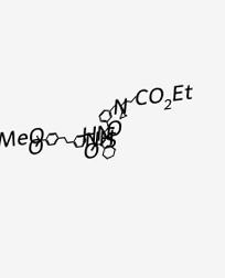 CCOC(=O)CCCN(Cc1cccc(C(=O)Nc2sc3c(c2C(=O)Nc2ccc(CCc4ccc(C(=O)OC)cc4)cc2)CCCC3)c1)C1CC1